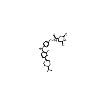 Cc1nc(N2CCC(C(C)C)CC2)ccc1Nc1ccc(CNC(=O)C2CC(=O)NC(=O)C2)cc1